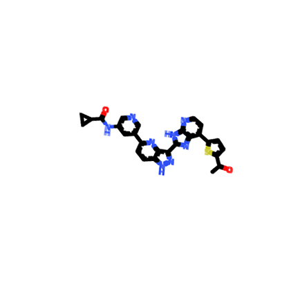 CC(=O)c1ccc(-c2ccnc3[nH]c(-c4n[nH]c5ccc(-c6cncc(NC(=O)C7CC7)c6)nc45)nc23)s1